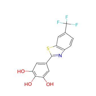 Oc1cc(-c2nc3ccc(C(F)(F)F)cc3s2)cc(O)c1O